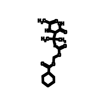 CC(=O)NC(C(=O)O)C(C)(C)SC(=O)OCOC(=O)C1CCCCC1